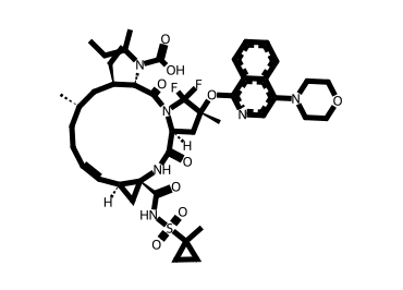 CCC(C)N(C(=O)O)[C@@H]1C(=O)N2[C@@H](C[C@@](C)(Oc3ncc(N4CCOCC4)c4ccccc34)C2(F)F)C(=O)N[C@]2(C(=O)NS(=O)(=O)C3(C)CC3)C[C@H]2/C=C\CC[C@H](C)C[C@H]1CC